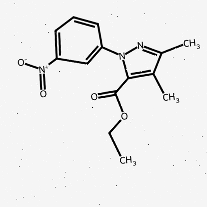 CCOC(=O)c1c(C)c(C)nn1-c1cccc([N+](=O)[O-])c1